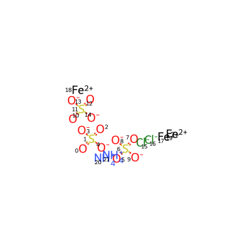 O=S(=O)([O-])[O-].O=S(=O)([O-])[O-].O=S(=O)([O-])[O-].[Cl-].[Cl-].[Fe+2].[Fe+2].[Fe+2].[NH4+].[NH4+]